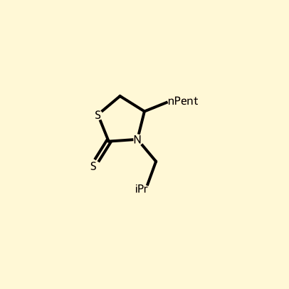 CCCCCC1CSC(=S)N1CC(C)C